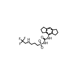 O=C(Nc1c2c(cc3c1CCC3)CCC2)NS(=O)(=O)CCCNCC(F)(F)F